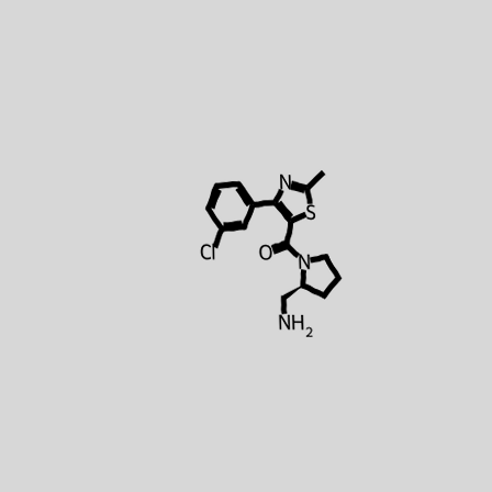 Cc1nc(-c2cccc(Cl)c2)c(C(=O)N2CCC[C@H]2CN)s1